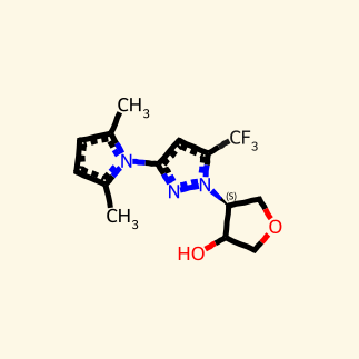 Cc1ccc(C)n1-c1cc(C(F)(F)F)n([C@H]2COCC2O)n1